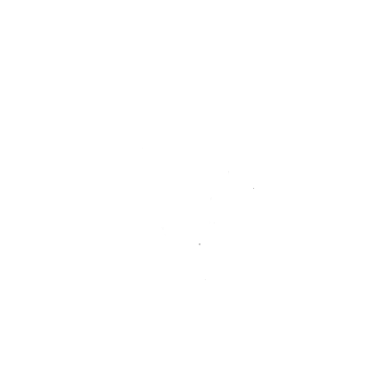 Cc1cc(C)c(C(=O)C(Cl)Cl)cc1C